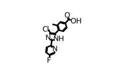 Cc1cc(C(=O)O)ccc1-c1[nH]c(-c2ccc(F)cn2)nc1Cl